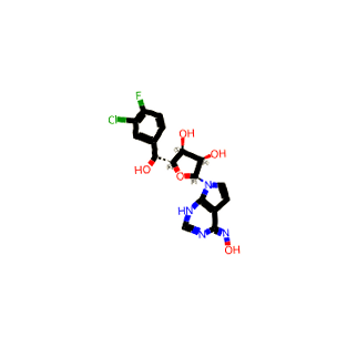 ON=c1nc[nH]c2c1ccn2[C@@H]1O[C@H](C(O)c2ccc(F)c(Cl)c2)[C@@H](O)[C@H]1O